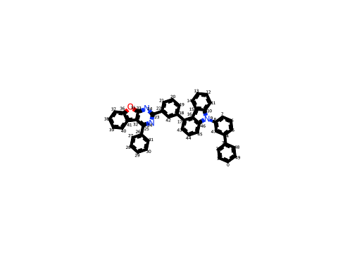 c1ccc(-c2cccc(-n3c4ccccc4c4c(-c5cccc(-c6nc(-c7ccccc7)c7c(n6)oc6ccccc67)c5)cccc43)c2)cc1